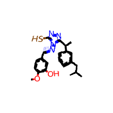 COc1ccc(/C=N/n2c(S)nnc2C(C)c2cccc(CC(C)C)c2)cc1O